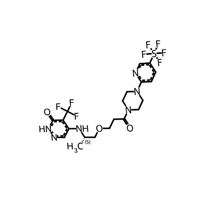 C[C@@H](COCCC(=O)N1CCN(c2ccc(S(F)(F)(F)(F)F)cn2)CC1)Nc1cn[nH]c(=O)c1C(F)(F)F